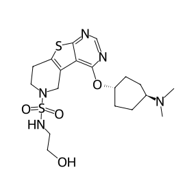 CN(C)[C@H]1CC[C@H](Oc2ncnc3sc4c(c23)CN(S(=O)(=O)NCCO)CC4)CC1